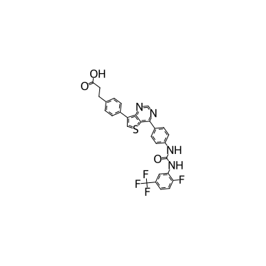 O=C(O)CCc1ccc(-c2csc3c(-c4ccc(NC(=O)Nc5cc(C(F)(F)F)ccc5F)cc4)ncnc23)cc1